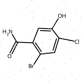 NC(=O)c1cc(O)c(Cl)cc1Br